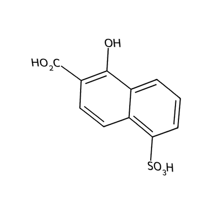 O=C(O)c1ccc2c(S(=O)(=O)O)cccc2c1O